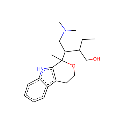 CCC(CO)C(CN(C)C)C1(C)OCCc2c1[nH]c1ccccc21